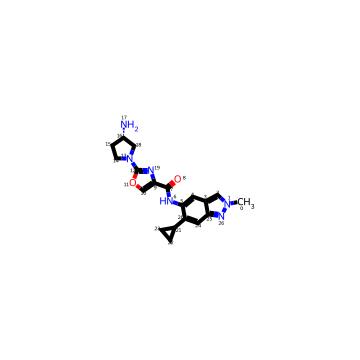 Cn1cc2cc(NC(=O)c3coc(N4CC[C@H](N)C4)n3)c(C3CC3)cc2n1